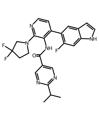 CC(C)c1ncc(C(=O)Nc2c(-c3cc4cc[nH]c4cc3F)ccnc2N2CCC(F)(F)C2)cn1